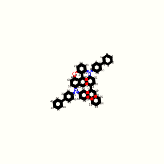 C1=CCCC(c2ccc(N(c3ccc(-c4ccccc4)cc3)c3cccc4c3-c3cccc5c(N(c6ccc(-c7ccccc7)cc6)c6ccc(-c7ccccc7)cc6)ccc(c35)O4)cc2)=C1